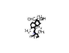 C=C1CCC2[C@@](C)(CC[C@@H](O)[C@@]2(C)C=O)C1C/C=C1/C(=O)OC[C@H]1O